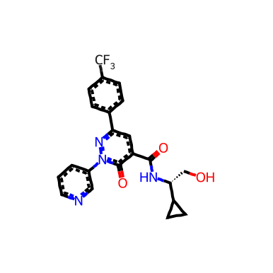 O=C(N[C@H](CO)C1CC1)c1cc(-c2ccc(C(F)(F)F)cc2)nn(-c2cccnc2)c1=O